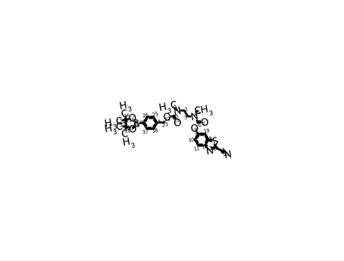 CN(CCN(C)C(=O)Oc1ccc2nc(C#N)sc2c1)C(=O)OCc1ccc(B2OC(C)(C)C(C)(C)O2)cc1